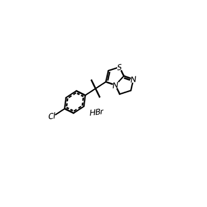 Br.CC(C)(C1=CSC2=NCCN12)c1ccc(Cl)cc1